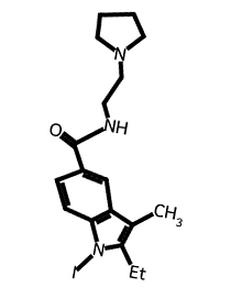 CCc1c(C)c2cc(C(=O)NCCN3CCCC3)ccc2n1I